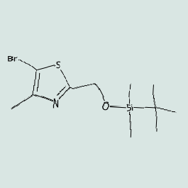 Cc1nc(CO[Si](C)(C)C(C)(C)C)sc1Br